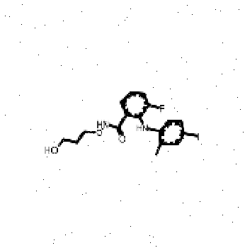 Cc1cc(I)ccc1Nc1c(F)cccc1C(=O)NOCCCO